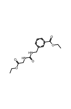 CCOC(=O)CNC(=O)NCc1cccc(C(=O)OCC)c1